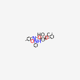 Cc1ccc(CN(CCO[C@H]2CCC[C@@H](OCc3cccc(C)c3C(=O)O)C2)C(=O)Nc2ccccc2)cc1